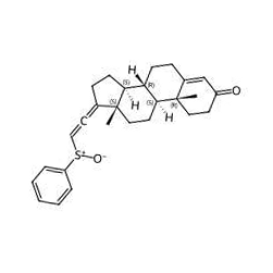 C[C@]12CCC(=O)C=C1CC[C@@H]1[C@@H]2CC[C@]2(C)C(=C=C[S+]([O-])c3ccccc3)CC[C@@H]12